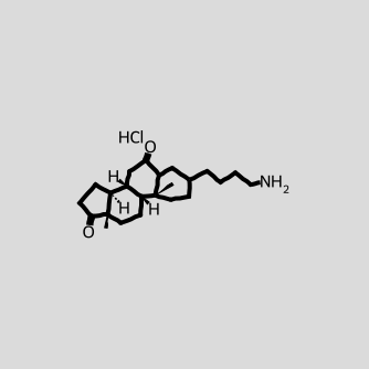 C[C@]12CCC(CCCCN)CC1C(=O)C[C@@H]1[C@H]2CC[C@]2(C)C(=O)CC[C@@H]12.Cl